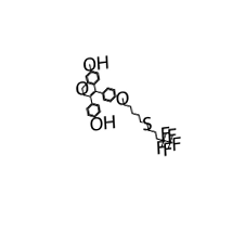 Oc1ccc(C2=C(c3ccc(OCCCCCSCCCC(F)(F)C(F)(F)F)cc3)c3ccc(O)cc3OC2)cc1